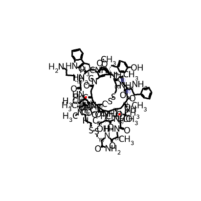 C=C1CC(=O)N(C)c2cc(cc(OC)c2C)C/C(C)=C/C=C/[C@@H](OC)[C@@]2(OC)C[C@H](OC(=O)N2)[C@@H](C)[C@@H]2O[C@@]2(C)[C@H]1OC(=O)[C@H](C)N(C)C(=O)CCSSC[C@H](NC(=O)[C@H](C)NC(=O)[C@H](C)NC(=O)[C@@H](NC(=O)[C@@H]1CSSC[C@H](NC(=O)[C@H](N)Cc2ccccc2)C(=O)N[C@@H](Cc2ccc(O)cc2)C(=O)N[C@H](Cc2c[nH]c3ccccc23)C(=O)N[C@@H](CCCCN)C(=O)N[C@@H]([C@@H](C)O)C(=O)N1)[C@@H](C)O)C(N)=O